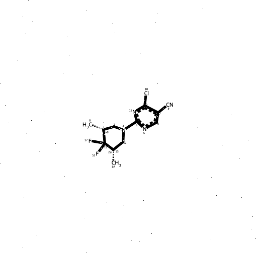 C[C@@H]1CN(c2ncc(C#N)c(Cl)n2)C[C@H](C)C1(F)F